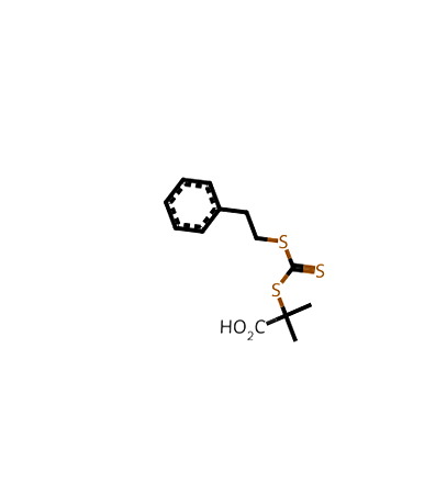 CC(C)(SC(=S)SCCc1ccccc1)C(=O)O